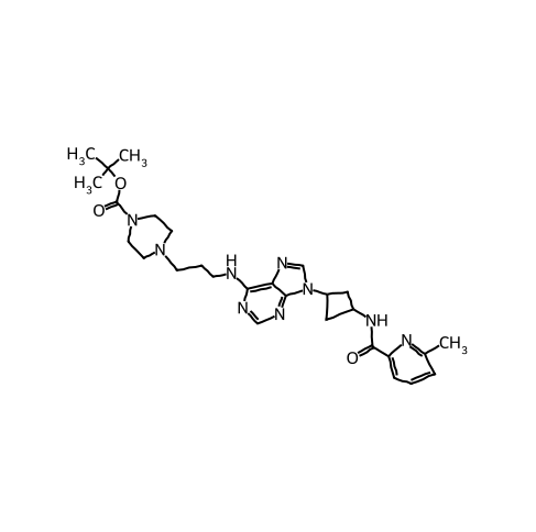 Cc1cccc(C(=O)NC2CC(n3cnc4c(NCCCN5CCN(C(=O)OC(C)(C)C)CC5)ncnc43)C2)n1